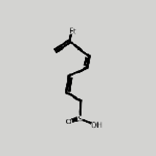 C=C(/C=C\C=C/CS(=O)O)CC